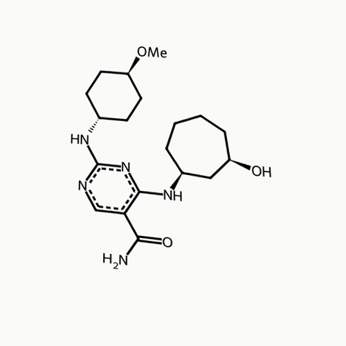 CO[C@H]1CC[C@H](Nc2ncc(C(N)=O)c(N[C@H]3CCCC[C@@H](O)C3)n2)CC1